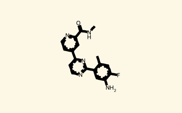 CNC(=O)c1cc(-c2ccnc(-c3cc(N)c(F)cc3C)n2)ccn1